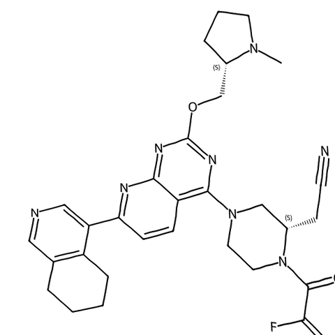 C=C(F)C(=O)N1CCN(c2nc(OC[C@@H]3CCCN3C)nc3nc(-c4cncc5c4CCCC5)ccc23)C[C@@H]1CC#N